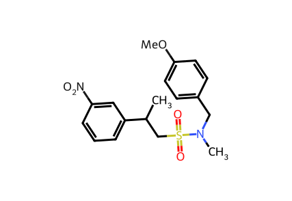 COc1ccc(CN(C)S(=O)(=O)CC(C)c2cccc([N+](=O)[O-])c2)cc1